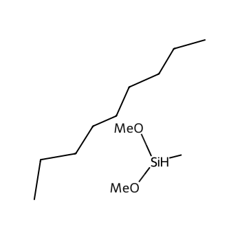 CCCCCCCCC.CO[SiH](C)OC